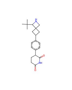 CC(C)(C)C1NCC12CC(c1ccc(C3CCC(=O)NC3=O)cc1)C2